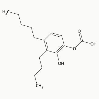 CCCCCc1ccc(OC(=O)O)c(O)c1CCCC